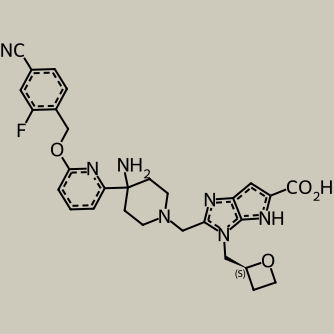 N#Cc1ccc(COc2cccc(C3(N)CCN(Cc4nc5cc(C(=O)O)[nH]c5n4C[C@@H]4CCO4)CC3)n2)c(F)c1